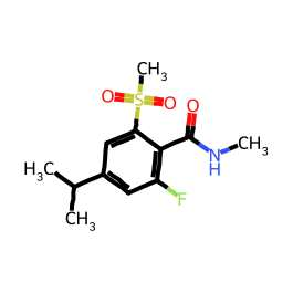 CNC(=O)c1c(F)cc(C(C)C)cc1S(C)(=O)=O